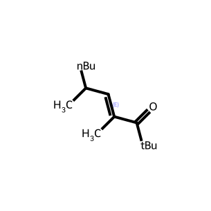 CCCCC(C)/C=C(\C)C(=O)C(C)(C)C